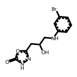 O=c1[nH]nc(CC(O)CNc2cccc(Br)c2)o1